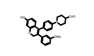 COc1cccc(C2=C(c3ccc(N4CCC(C=O)CC4)cc3)c3ccc(O)cc3OC2)c1